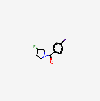 O=C(c1ccc(I)cc1)N1CCC(F)C1